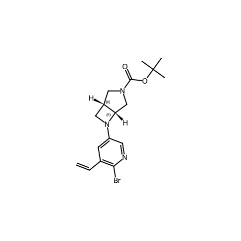 C=Cc1cc(N2C[C@@H]3CN(C(=O)OC(C)(C)C)C[C@@H]32)cnc1Br